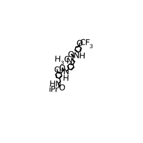 CC(C)C(=O)NCc1ccc(Cl)c(C(=O)Nc2ccc3cc(C(=O)Nc4ccc(OC(F)(F)F)cc4)n(C)c3c2)c1